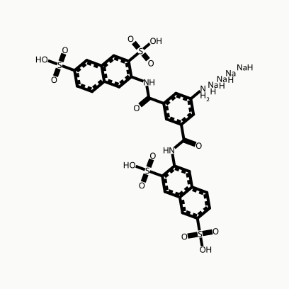 Nc1cc(C(=O)Nc2cc3ccc(S(=O)(=O)O)cc3cc2S(=O)(=O)O)cc(C(=O)Nc2cc3ccc(S(=O)(=O)O)cc3cc2S(=O)(=O)O)c1.[NaH].[NaH].[NaH].[NaH]